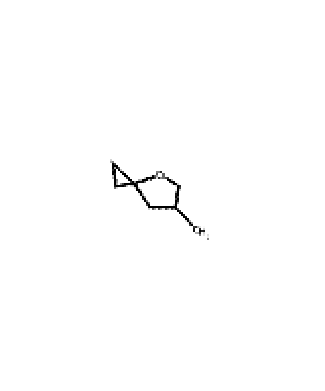 CC1COC2(CC2)C1